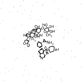 C[C@@H]1O[C@@H](O[C@H]2C[C@@H](O)[C@]3(CO)[C@H]4[C@H](O)C[C@]5(C)[C@@H](C6=CC(=O)OC6)CC[C@]5(O)[C@@H]4CC[C@]3(O)C2)[C@H](O)[C@H](O)[C@H]1O.N[C@@H]1C[C@H]1c1ccccc1.O=S(=O)(c1cccc2cnccc12)N1CCCNCC1